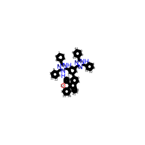 C1=CCCC(C2=NC(c3ccccc3)NC(C3=CC(c4ccc5c(c4)C4(c6ccccc6Oc6ccccc64)c4ccccc4-5)CC(C4=NC(c5ccccc5)NC(c5ccccc5)=N4)=C3)N2)=C1